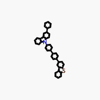 c1ccc(-c2ccc3c(c2)c2ccccc2n3-c2ccc(-c3ccc(-c4ccc5sc6ccccc6c5c4)cc3)cc2)cc1